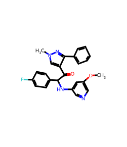 COc1cncc(NC(C(=O)c2cn(C)nc2-c2ccccc2)c2ccc(F)cc2)c1